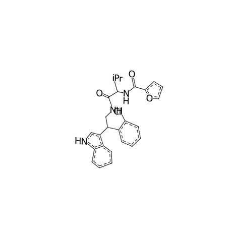 CC(C)C(NC(=O)c1ccco1)C(=O)NCC(c1ccccc1Cl)c1c[nH]c2ccccc12